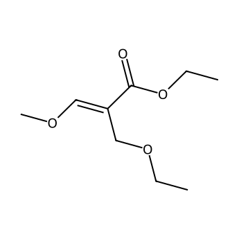 CCOC/C(=C\OC)C(=O)OCC